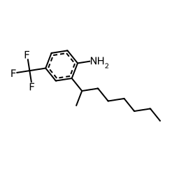 CCCCCCC(C)c1cc(C(F)(F)F)ccc1N